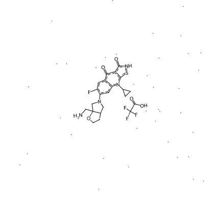 NCC12CN(c3cc4c(cc3F)c(=O)c3c(=O)[nH]sc3n4C3CC3)CC1CCO2.O=C(O)C(F)(F)F